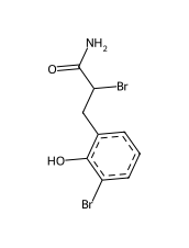 NC(=O)C(Br)Cc1cccc(Br)c1O